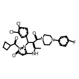 CC1=C(C(=O)N2CCN(c3ccc(F)cc3)CC2)C(c2ccc(Cl)c(Cl)c2)n2c(cc(=O)n2C(=O)C2CCC2)N1